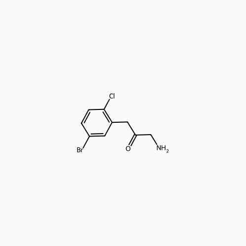 NCC(=O)Cc1cc(Br)ccc1Cl